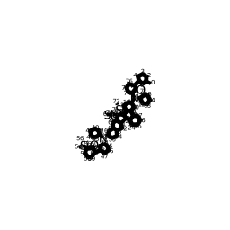 Cc1cccc2c1oc1c(N(c3ccccc3)c3ccc4c5c(c6ccccc6c4c3)-c3cc4ccc(N(c6ccccc6)c6cccc7c6oc6c([Si](C)(C)C)cccc67)cc4cc3C5([Si](C)(C)C)[Si](C)(C)C)cccc12